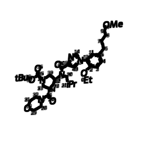 CCOc1ccc(CCCCOC)cc1-n1cnc(C(=O)N(CC(C)C)[C@H]2C[C@@H](C(=O)N3CCOCC3)CN(C(=O)OC(C)(C)C)C2)c1